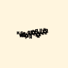 CS(=O)(=O)N[C@@H]1CC[C@@H](C(=O)Nc2cc(-c3cncc(NCC4CCOCC4)n3)c(Cl)cn2)C1